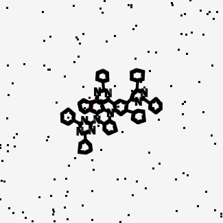 c1ccc(-c2cc(-c3cc(-c4cc(-c5ccccc5)nc(-c5ccccc5)n4)c(N4c5ccccc5N(c5nc(-c6ccccc6)nc(-c6ccccc6)n5)c5ccccc54)cc3-c3ccccc3)nc(-c3ccccc3)n2)cc1